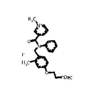 CCCCCCCCCCCCOc1ccc(CN(C(=O)c2ccc[n+](C)c2)c2ccccc2)c(C)c1.[I-]